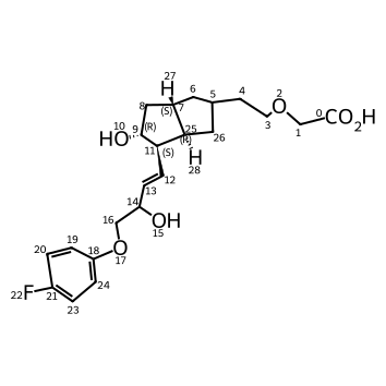 O=C(O)COCCC1C[C@H]2C[C@@H](O)[C@H](C=CC(O)COc3ccc(F)cc3)[C@@H]2C1